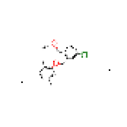 C=C.Cc1ccc(C)c(OCc2cc(Cl)ccc2C=O)c1